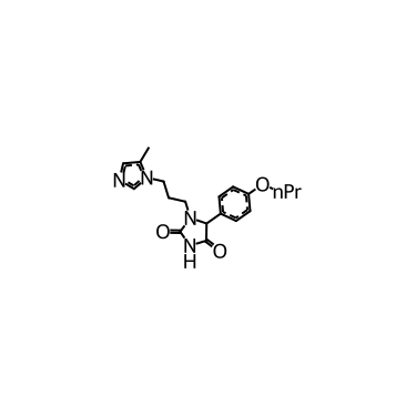 CCCOc1ccc(C2C(=O)NC(=O)N2CCCn2cncc2C)cc1